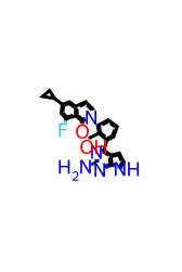 Nc1nc(-c2cccc(-n3ccc4cc(C5CC5)cc(F)c4c3=O)c2CO)c2cc[nH]c2n1